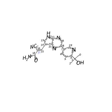 CC(C)(O)c1ccc(-c2cnc3[nH]cc(/C=C(\C#N)C(N)=O)c3n2)cn1